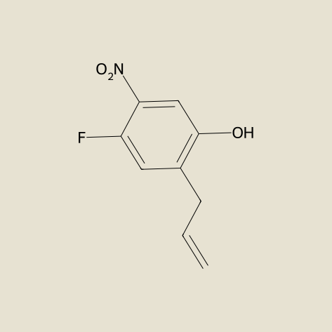 C=CCc1cc(F)c([N+](=O)[O-])cc1O